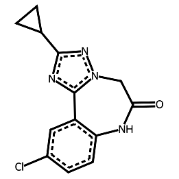 O=C1Cn2nc(C3CC3)nc2-c2cc(Cl)ccc2N1